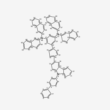 c1ccc(-c2ccc(-n3c4ccccc4c4cc(-c5ccc(-c6cc(N(c7ccc8ccccc8c7)c7ccc8ccccc8c7)cc(N(c7ccc8ccccc8c7)c7ccc8ccccc8c7)c6)cc5)ccc43)cc2)cc1